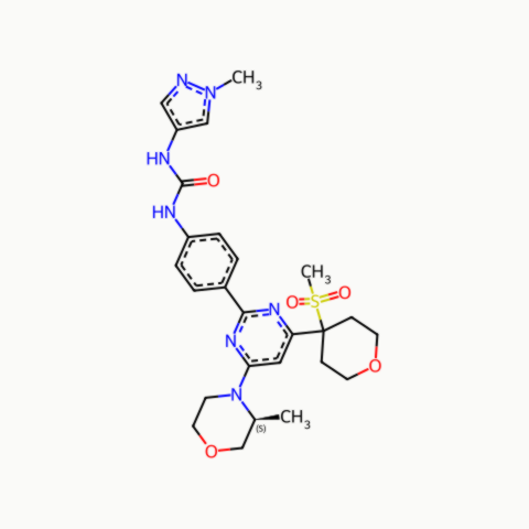 C[C@H]1COCCN1c1cc(C2(S(C)(=O)=O)CCOCC2)nc(-c2ccc(NC(=O)Nc3cnn(C)c3)cc2)n1